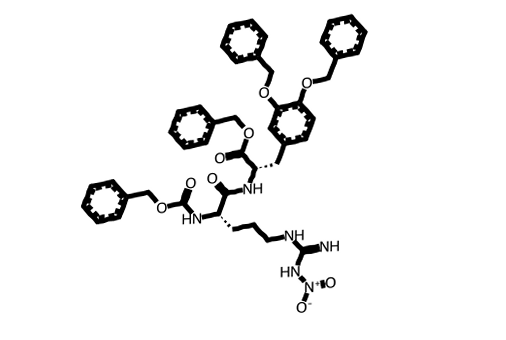 N=C(NCCC[C@H](NC(=O)OCc1ccccc1)C(=O)N[C@@H](Cc1ccc(OCc2ccccc2)c(OCc2ccccc2)c1)C(=O)OCc1ccccc1)N[N+](=O)[O-]